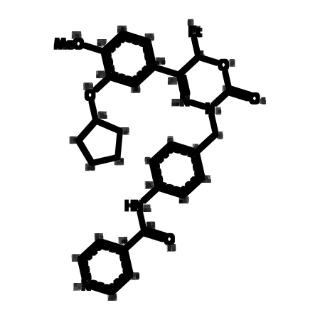 CCC1OC(=O)N(Cc2ccc(NC(=O)c3ccncc3)cc2)N=C1c1ccc(OC)c(OC2CCCC2)c1